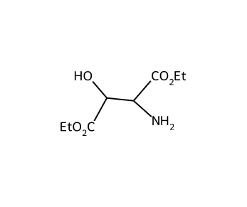 CCOC(=O)C(N)C(O)C(=O)OCC